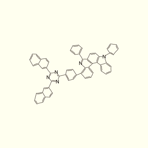 c1ccc(-c2nc3c(-c4ccc(-c5nc(-c6ccc7ccccc7c6)nc(-c6ccc7ccccc7c6)n5)cc4)cccc3c3c2ccc2c3c3ccccc3n2-c2ccccc2)cc1